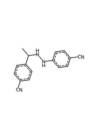 CC(NNc1ccc(C#N)cc1)c1ccc(C#N)cc1